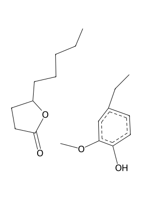 CCCCCC1CCC(=O)O1.CCc1ccc(O)c(OC)c1